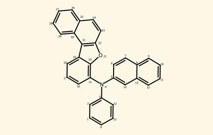 c1ccc(N(c2ccc3ccccc3c2)c2cccc3c2oc2ccc4ccccc4c23)cc1